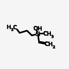 C=C[Si](C)(O)CCCC